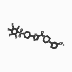 O=C(c1csc(C2CCN(S(=O)(=O)c3c(F)c(F)c(F)c(F)c3F)CC2)n1)N1CCN(c2cccc(C(F)(F)F)c2)CC1